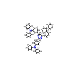 c1ccc(-c2ccc3c4c(cccc24)-c2nc(-c4ccc(N(c5ccccc5)c5ccccc5)cc4)nc(-c4cccc(N(c5ccccc5)c5ccccc5)c4)c2-3)cc1